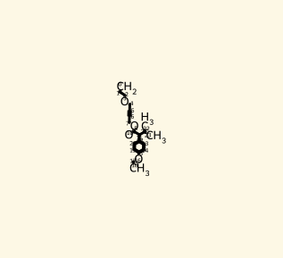 C=CCOCC#CCOC(=O)C(c1ccc(OCC)cc1)C(C)C